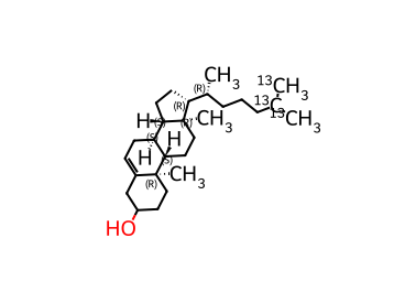 C[C@H](CCC[13CH]([13CH3])[13CH3])[C@H]1CC[C@H]2[C@@H]3CC=C4CC(O)CC[C@]4(C)[C@H]3CC[C@]12C